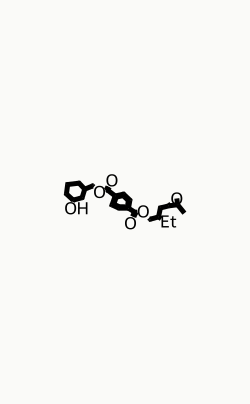 CCC(COC(=O)c1ccc(C(=O)OCC2CCCC(O)C2)cc1)CC1OC1C